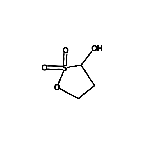 O=S1(=O)OCCC1O